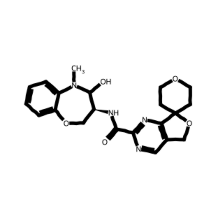 CN1c2ccccc2OC[C@H](NC(=O)c2ncc3c(n2)C2(CCOCC2)OC3)C1O